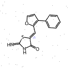 N=C1NC(=O)/C(=C/c2occc2-c2ccccc2)S1